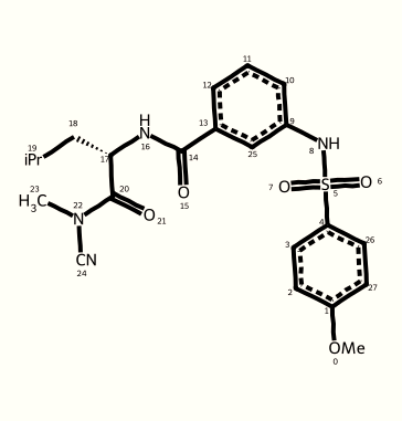 COc1ccc(S(=O)(=O)Nc2cccc(C(=O)N[C@@H](CC(C)C)C(=O)N(C)C#N)c2)cc1